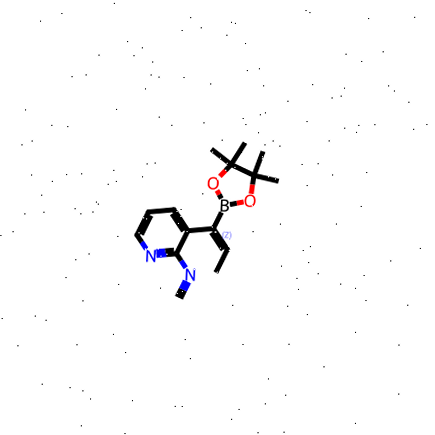 C=Nc1ncccc1/C(=C\C)B1OC(C)(C)C(C)(C)O1